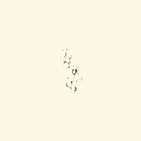 Cc1cn2c(Nc3cc([C@H]4CC[C@@H](OC(=O)NC(C)C)[C@@H]4F)[nH]n3)nccc2n1